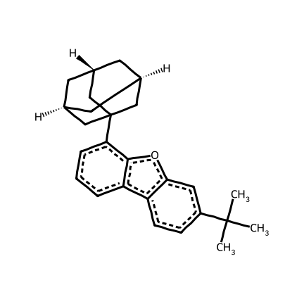 CC(C)(C)c1ccc2c(c1)oc1c(C34C[C@H]5C[C@@H](C3)C[C@@H](C4)C5)cccc12